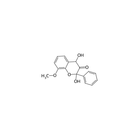 COc1cccc2c1OC(O)(c1ccccc1)C(=O)C2O